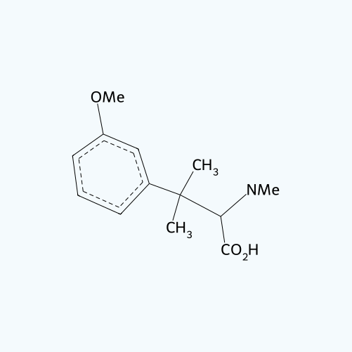 CNC(C(=O)O)C(C)(C)c1cccc(OC)c1